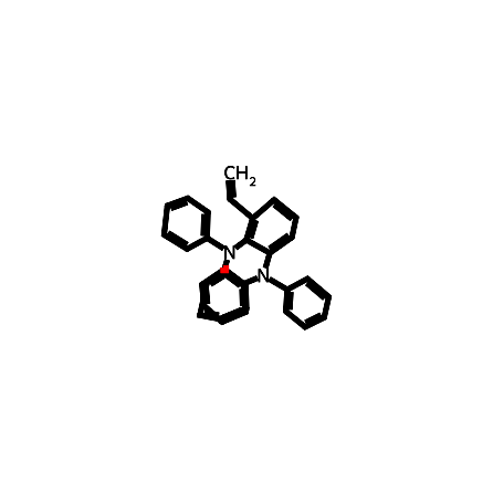 C=Cc1cccc(N(c2ccccc2)c2ccccc2)c1N(c1ccccc1)c1ccccc1